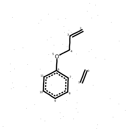 C=C.C=CCOc1ccccc1